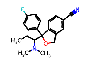 CCC(N(C)C)C1(c2ccc(F)cc2)OCc2cc(C#N)ccc21